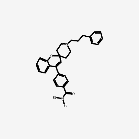 CCN(CC)C(=O)c1ccc(C2=CC3(CCN(CCCc4ccccc4)CC3)Oc3ccccc32)cc1